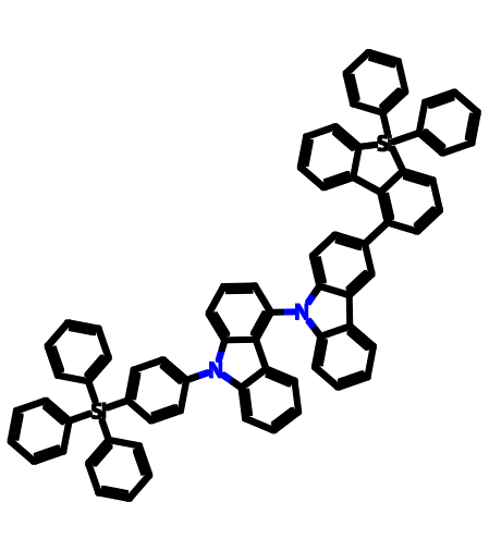 c1ccc([Si](c2ccccc2)(c2ccccc2)c2ccc(-n3c4ccccc4c4c(-n5c6ccccc6c6cc(-c7cccc8c7-c7ccccc7[Si]8(c7ccccc7)c7ccccc7)ccc65)cccc43)cc2)cc1